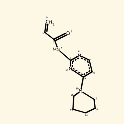 C=CC(=O)Nc1nccc(N2CCCCC2)n1